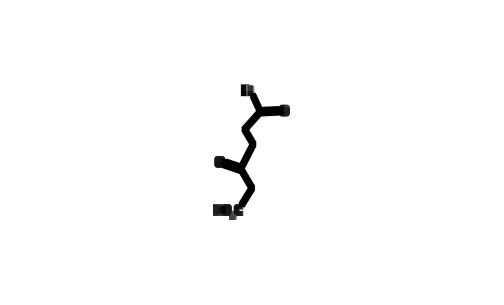 CCC(=O)CCC(=O)CC(=O)O